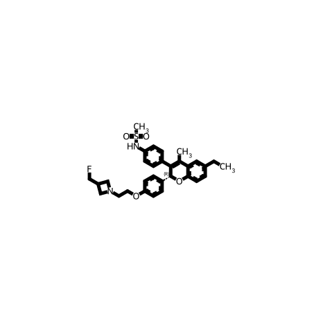 CCc1ccc2c(c1)C(C)=C(c1ccc(NS(C)(=O)=O)cc1)[C@@H](c1ccc(OCCN3CC(CF)C3)cc1)O2